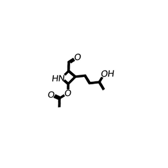 CC(=O)OC1NC(C=O)C1CCC(C)O